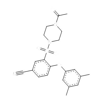 CC(=O)N1CCN(S(=O)(=O)c2cc(C#N)ccc2Oc2cc(C)cc(C)c2)CC1